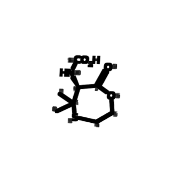 CC1(C)SCCOC(=O)[C@@H]1NC(=O)O